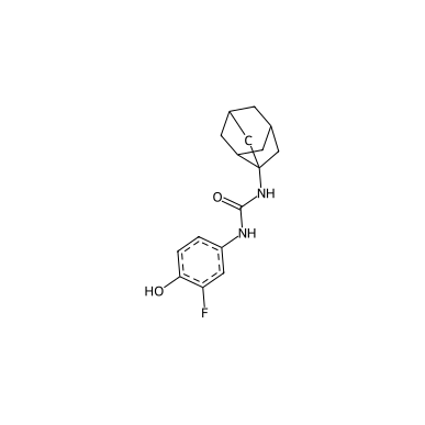 O=C(Nc1ccc(O)c(F)c1)NC12CC3CC(CC1C3)C2